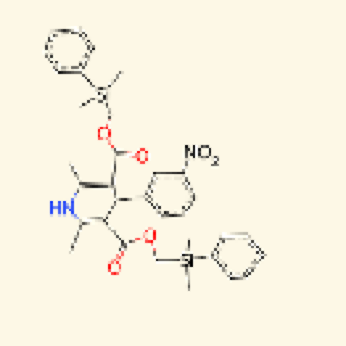 CC1=C(C(=O)OC[Si](C)(C)c2ccccc2)C(c2cccc([N+](=O)[O-])c2)C(C(=O)OC[Si](C)(C)c2ccccc2)=C(C)N1